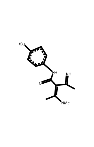 CN/C(C)=C(\C(C)=N)C(=O)Nc1ccc(C(C)(C)C)cc1